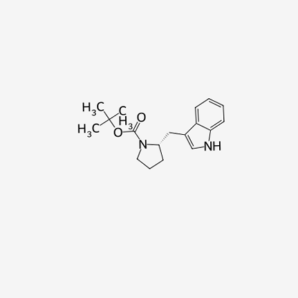 CC(C)(C)OC(=O)N1CCC[C@H]1Cc1c[nH]c2ccccc12